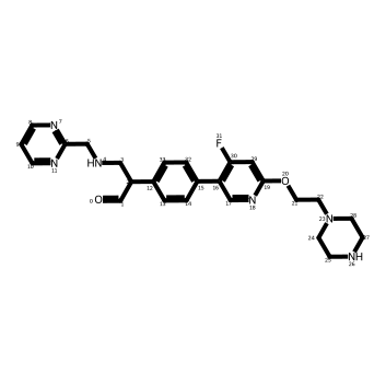 O=CC(CNCc1ncccn1)c1ccc(-c2cnc(OCCN3CCNCC3)cc2F)cc1